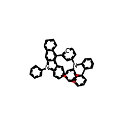 c1ccc(-c2ccccc2N(c2ccccc2)c2cccc(-c3c4ccccc4cc4c3c3ccccc3n4-c3ccccc3)c2)cc1